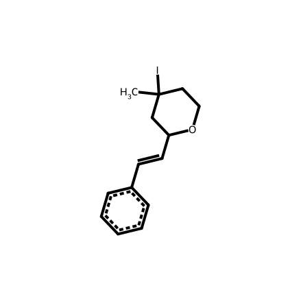 CC1(I)CCOC(C=Cc2ccccc2)C1